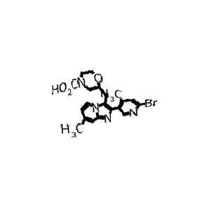 Cc1ccn2c(CC3CN(C(=O)O)CCO3)c(-c3cnc(Br)cc3C)nc2c1